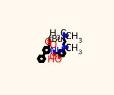 CN(C)CCCN(C)c1ccc(O)c(C(=O)Nc2cc(-c3ccccc3)ccc2C(=O)OC(C)(C)C)c1